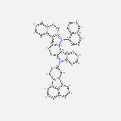 c1ccc2c(-n3c4ccc5ccccc5c4c4ccc5c(c6ccccc6n5-c5ccc6c(c5)-c5cccc7cccc-6c57)c43)cccc2c1